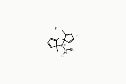 CC[SiH](CC)[Zr+2]([C]1(C)C=CC=C1C)[C]1(C)C=CC=C1C.[F-].[F-]